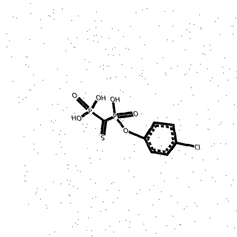 O=P(O)(O)C(=S)P(=O)(O)Oc1ccc(Cl)cc1